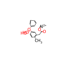 Cc1ccc(Oc2ccccc2)cc1CC(=O)[O][Al+2].[OH-].[OH-]